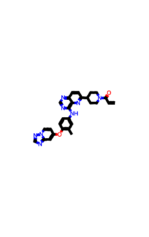 C=CC(=O)N1CCC(c2ccc3ncnc(Nc4ccc(Oc5ccn6ncnc6c5)c(C)c4)c3n2)CC1